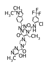 CCc1c(N2CCN(C(=O)c3ncnc(C)c3O)CC2)c(=O)n2nc(-c3ccc4c(ccn4C(C)C)c3)nc2n1CC(=O)Nc1ccc(C(F)(F)F)cc1Cl